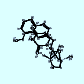 O=c1ccn([C@@H]2O[C@H]3CO[C@H]2[C@@H]3OCc2ccc3cccc(CO)c3c2)c(=O)[nH]1